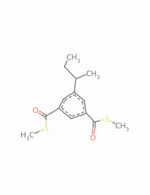 CCC(C)c1cc(C(=O)SC)cc(C(=O)SC)c1